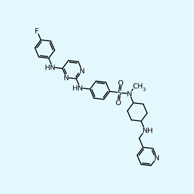 CN(C1CCC(NCc2cccnc2)CC1)S(=O)(=O)c1ccc(Nc2nccc(Nc3ccc(F)cc3)n2)cc1